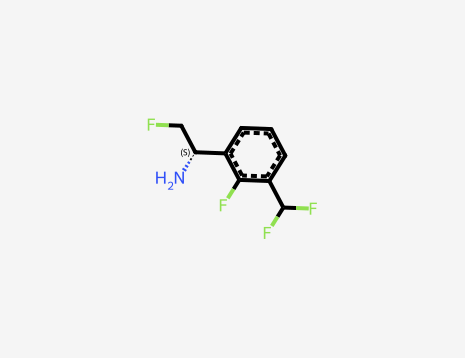 N[C@H](CF)c1cccc(C(F)F)c1F